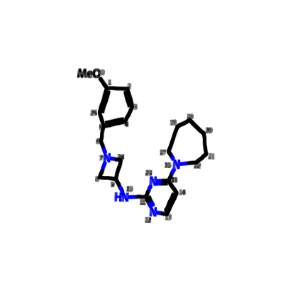 COc1cccc(CN2CC(Nc3nccc(N4CCCCCC4)n3)C2)c1